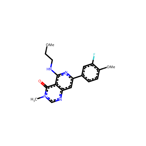 COCCNc1nc(-c2ccc(OC)c(F)c2)cc2ncn(C)c(=O)c12